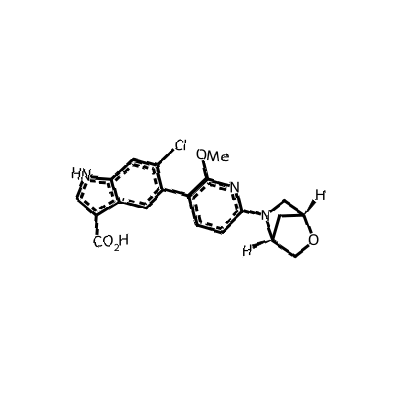 COc1nc(N2C[C@H]3C[C@@H]2CO3)ccc1-c1cc2c(C(=O)O)c[nH]c2cc1Cl